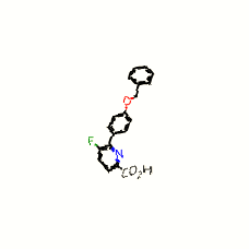 O=C(O)c1ccc(F)c(-c2ccc(OCc3ccccc3)cc2)n1